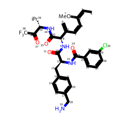 C=C(/C=C\C(=C/C)OC)[C@H](NC(=O)[C@H](Cc1ccc(CN)cc1)NC(=O)c1cccc(Cl)c1)C(=O)N[C@H](C(=O)C(F)(F)F)C(C)C